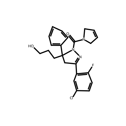 O=C(N1CC=CC1)N1N=C(c2cc(Cl)ccc2F)CC1(CCCO)c1ccccc1